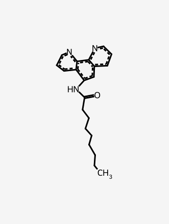 CCCCCCCCC(=O)Nc1cc2cccnc2c2ncccc12